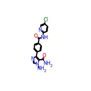 NC(=O)c1c(-c2ccc(C(=O)Nc3ccc(Cl)cn3)cc2)ncn1N